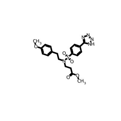 COC(=O)CCN(CCc1ccc(OC)cc1)S(=O)(=O)c1ccc(-c2nnn[nH]2)cc1